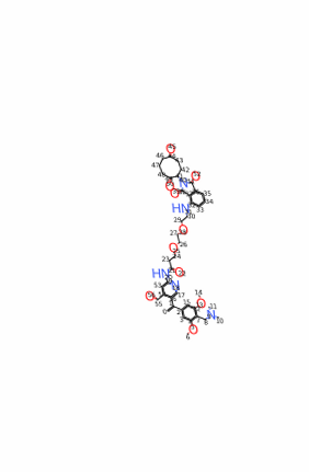 C=C(c1cc(OC)c(CN(C)C)c(OC)c1)c1cnc(NC(=O)CCOCCOCCNc2cccc3c2C(=O)N(C2CCC(=O)CCCC2=O)C3=O)cc1C=O